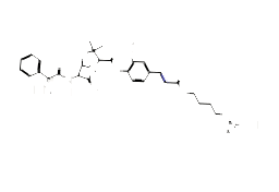 COc1cc(/C=C/C(=O)OCCCCON(O)O)ccc1OC(=O)C1N2C(=O)C(NC(=O)[C@@H](N)c3ccccc3)C2SC1(C)C